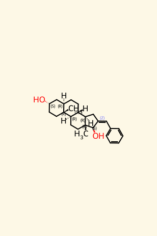 C[C@@]12CC[C@@H]3[C@H](CC[C@@H]4C[C@@H](O)CC[C@]43C)[C@H]1C/C(=C/c1ccccc1)[C@H]2O